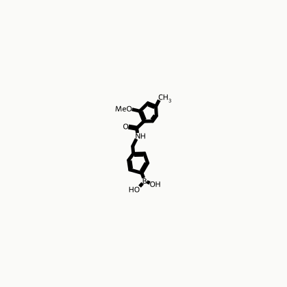 COc1cc(C)ccc1C(=O)NCc1ccc(B(O)O)cc1